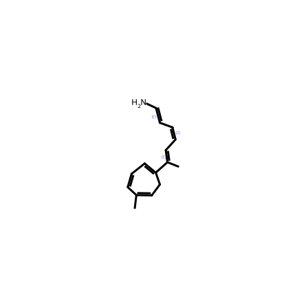 CC1=CCC(/C(C)=C/C=C\C=C\N)=CC=C1